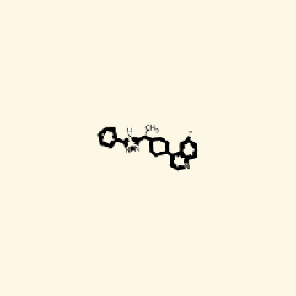 C[C@@H](c1nnc(-c2ccccc2)[nH]1)C1CCC(c2ccnc3ccc(F)cc23)CC1